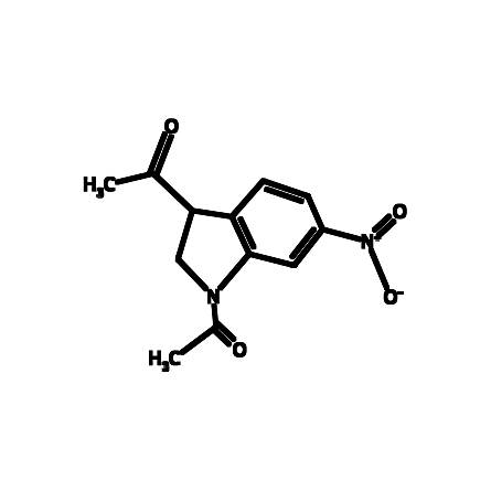 CC(=O)C1CN(C(C)=O)c2cc([N+](=O)[O-])ccc21